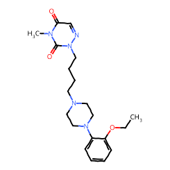 CCOc1ccccc1N1CCN(CCCCn2ncc(=O)n(C)c2=O)CC1